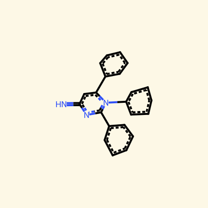 N=c1cc(-c2ccccc2)n(-c2ccccc2)c(-c2ccccc2)n1